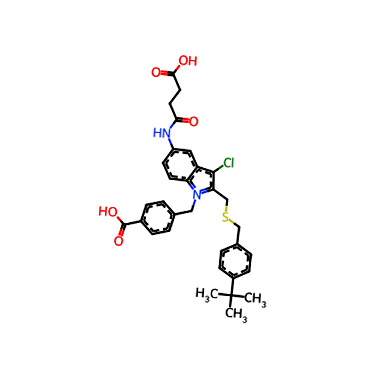 CC(C)(C)c1ccc(CSCc2c(Cl)c3cc(NC(=O)CCC(=O)O)ccc3n2Cc2ccc(C(=O)O)cc2)cc1